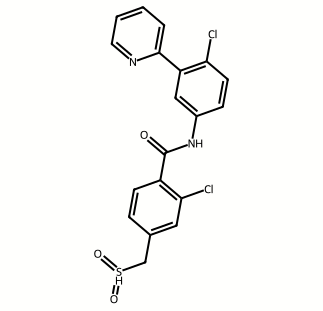 O=C(Nc1ccc(Cl)c(-c2ccccn2)c1)c1ccc(C[SH](=O)=O)cc1Cl